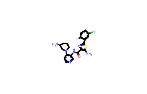 Nc1sc(-c2cc(Cl)ccc2F)nc1C(=O)Nc1cnccc1N1CCC[C@H](N)C1